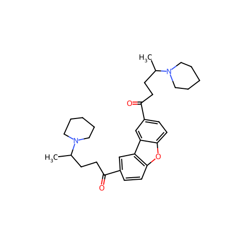 CC(CCC(=O)c1ccc2oc3ccc(C(=O)CCC(C)N4CCCCC4)cc3c2c1)N1CCCCC1